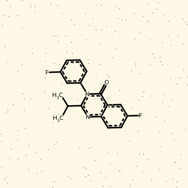 CC(C)c1nc2ccc(F)cc2c(=O)n1-c1cccc(F)c1